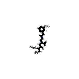 C=C(C)/C(=C\C=C(/C)Cc1cccc(CCC)c1)CC(=C)C(CC(C)C)NC